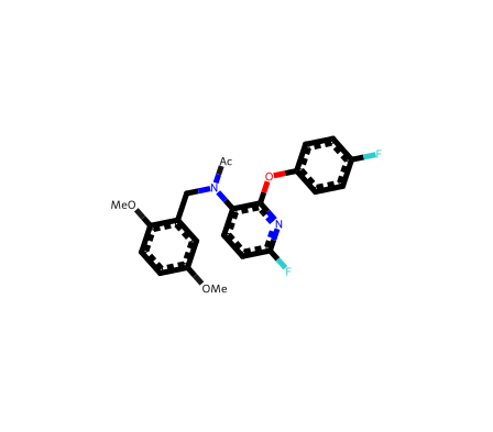 COc1ccc(OC)c(CN(C(C)=O)c2ccc(F)nc2Oc2ccc(F)cc2)c1